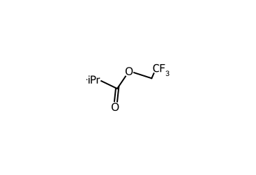 C[C](C)C(=O)OCC(F)(F)F